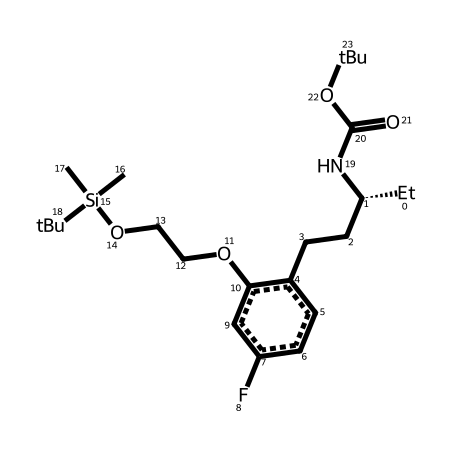 CC[C@H](CCc1ccc(F)cc1OCCO[Si](C)(C)C(C)(C)C)NC(=O)OC(C)(C)C